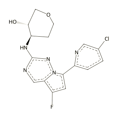 O[C@@H]1COCC[C@H]1Nc1ncc2c(F)cc(-c3ccc(Cl)cn3)n2n1